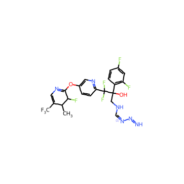 CC1C(C(F)(F)F)=CN=C(Oc2ccc(C(F)(F)C(O)(CN/C=N\N=N)c3ccc(F)cc3F)nc2)C1F